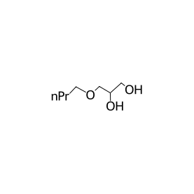 CCCCOCC(O)CO